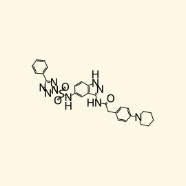 O=C(Cc1ccc(N2CCCCC2)cc1)Nc1n[nH]c2ccc(NS(=O)(=O)n3nnc(-c4ccccc4)n3)cc12